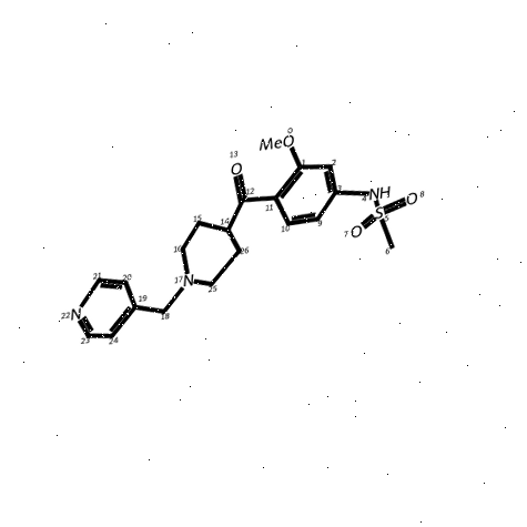 COc1cc(NS(C)(=O)=O)ccc1C(=O)C1CCN(Cc2ccncc2)CC1